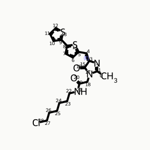 CC1=N/C(=C/c2ccc(-c3cccs3)s2)C(=O)N1CC(=O)NCCCCCCCl